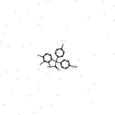 Cc1ccc(C2(c3ccc(O)cc3)C(=O)Nc3c2ccc(F)c3F)cc1